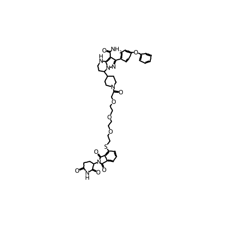 NC(=O)c1c(-c2ccc(Oc3ccccc3)cc2)nn2c1NCCC2C1CCN(C(=O)COCCOCCOCCSc2cccc3c2C(=O)N(C2CCC(=O)NC2=O)C3=O)CC1